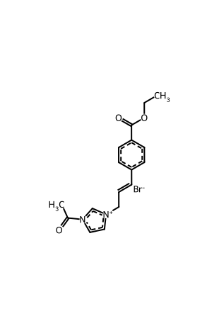 CCOC(=O)c1ccc(C=CC[n+]2ccn(C(C)=O)c2)cc1.[Br-]